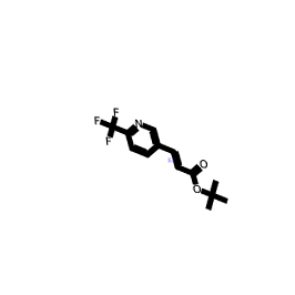 CC(C)(C)OC(=O)/C=C/c1ccc(C(F)(F)F)nc1